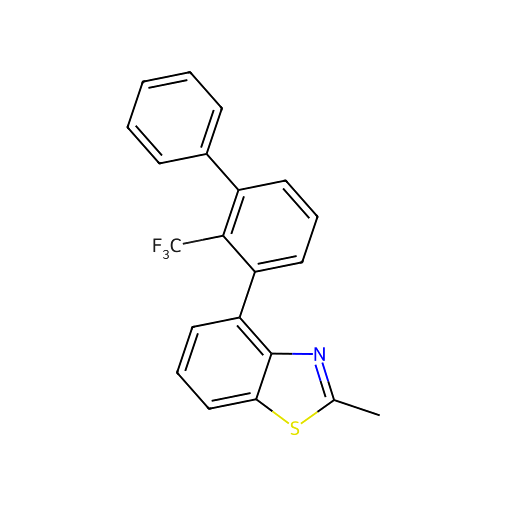 Cc1nc2c(-c3cccc(-c4ccccc4)c3C(F)(F)F)cccc2s1